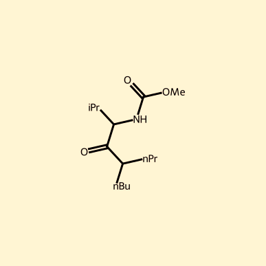 CCCCC(CCC)C(=O)C(NC(=O)OC)C(C)C